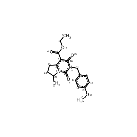 CCOC(=O)c1c2n(c(=O)n(Cc3ccc(OC)cc3)c1=O)C(C)CC2